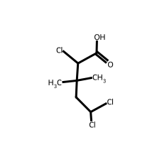 CC(C)(CC(Cl)Cl)C(Cl)C(=O)O